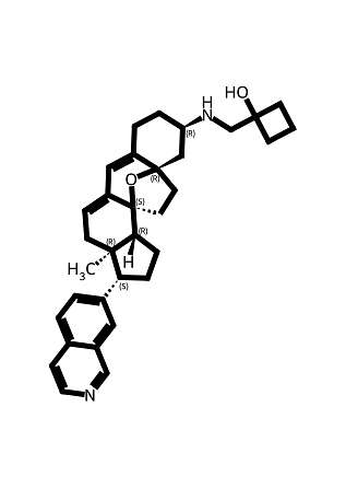 C[C@]12CC=C3C=C4CC[C@@H](NCC5(O)CCC5)C[C@]45CC[C@]3(O5)[C@@H]1CC[C@@H]2c1ccc2ccncc2c1